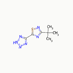 CC(C)(C)c1nsc(-c2nn[nH]n2)n1